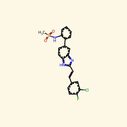 CS(=O)(=O)Nc1ccccc1-c1ccc2[nH]c(C=Cc3ccc(F)c(Cl)c3)nc2c1